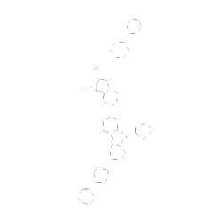 CC1c2cc3c4cc(-c5ccc(-c6ccccc6)cc5)ccc4n(-c4ccccc4)c3cc2-c2ccc3c4c([nH]c3c2C1C)C=CC(c1ccc(-c2ccccc2)cc1)C4